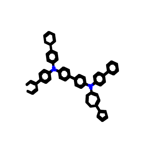 C/C=C\C(=C/C)c1ccc(N(c2ccc(-c3ccc(N(C4=CC=C(C5=CC=C=C5)CC=C4)c4ccc(-c5ccccc5)cc4)cc3)cc2)c2ccc(C3C=CC=CC3)cc2)cc1